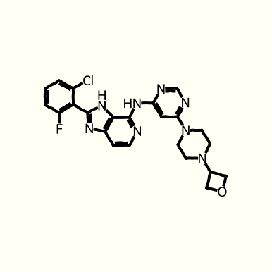 Fc1cccc(Cl)c1-c1nc2ccnc(Nc3cc(N4CCN(C5COC5)CC4)ncn3)c2[nH]1